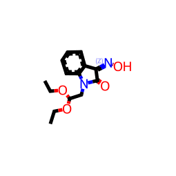 CCOC(CN1C(=O)/C(=N\O)c2ccccc21)OCC